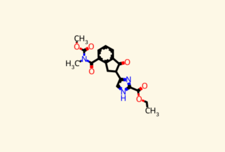 CCOC(=O)c1nc(C2Cc3c(cccc3C(=O)N(C)C(=O)OC)C2=O)c[nH]1